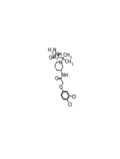 CC(C)(C)N1C[C@@H](NC(=O)COc2ccc(Cl)c(Cl)c2)CC[C@@H]1C(=O)NN